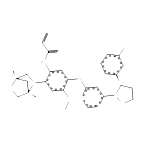 C=CC(=O)Nc1cc(Nc2cc(N3OCC[C@@H]3c3cccc(F)c3)ncn2)c(OC)cc1N1C[C@@H]2C[C@H]1CO2